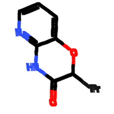 CC(C)C1Oc2cccnc2NC1=O